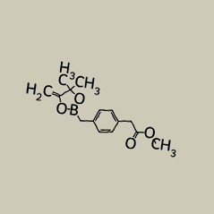 C=C1OB(Cc2ccc(CC(=O)OC)cc2)OC1(C)C